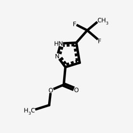 CCOC(=O)c1cc(C(C)(F)F)[nH]n1